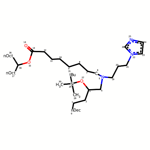 CCCCCCCCCCCCC(CN(CCCCCCCC(=O)OC(CCCCCCCC)CCCCCCCC)CCCn1ccnc1)O[Si](C)(C)C(C)(C)C